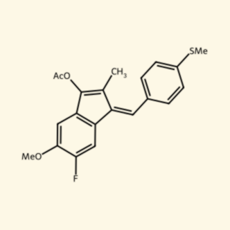 COc1cc2c(cc1F)C(=Cc1ccc(SC)cc1)C(C)=C2OC(C)=O